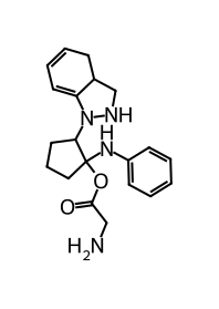 NCC(=O)OC1(Nc2ccccc2)CCCC1N1NCC2CC=CC=C21